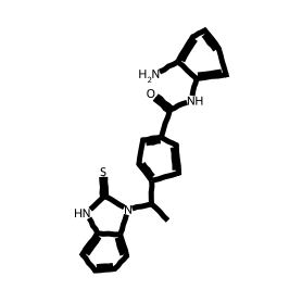 CC(c1ccc(C(=O)Nc2ccccc2N)cc1)n1c(=S)[nH]c2ccccc21